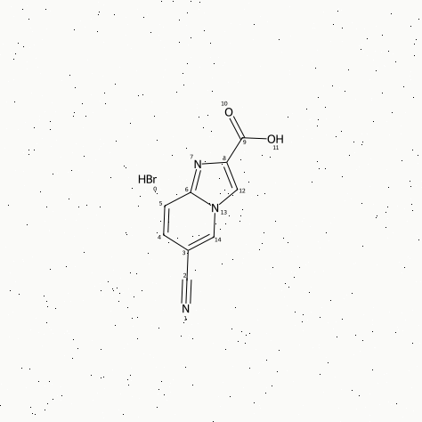 Br.N#Cc1ccc2nc(C(=O)O)cn2c1